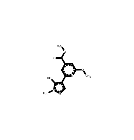 COC(=O)c1cc(OC)nc(-c2cnn(C)c2O)c1